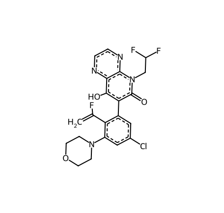 C=C(F)c1c(-c2c(O)c3nccnc3n(CC(F)F)c2=O)cc(Cl)cc1N1CCOCC1